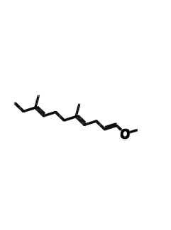 CC/C(C)=C/CC/C(C)=C/CC=COC